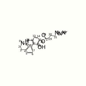 CN1CCc2cccc3c2[C@H]1Cc1ccc(OC(=O)CCCN=[N+]=[N-])c(O)c1-3